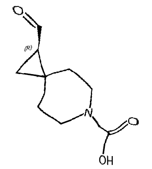 O=C[C@@H]1CC12CCN(C(=O)O)CC2